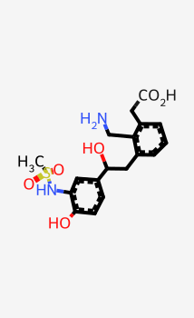 CS(=O)(=O)Nc1cc(C(O)Cc2cccc(CC(=O)O)c2CN)ccc1O